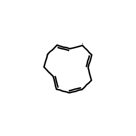 [CH]1/C=C/C/C=C\C=C\CC/C=C/1